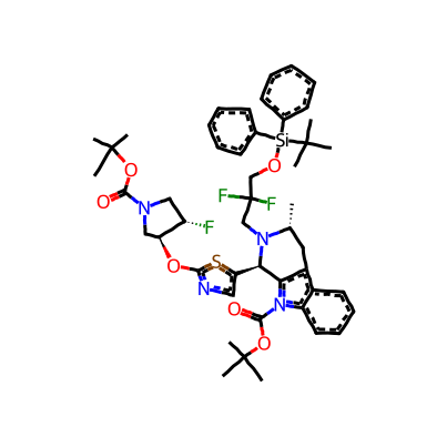 C[C@@H]1Cc2c(n(C(=O)OC(C)(C)C)c3ccccc23)[C@@H](c2cnc(O[C@H]3CN(C(=O)OC(C)(C)C)C[C@@H]3F)s2)N1CC(F)(F)CO[Si](c1ccccc1)(c1ccccc1)C(C)(C)C